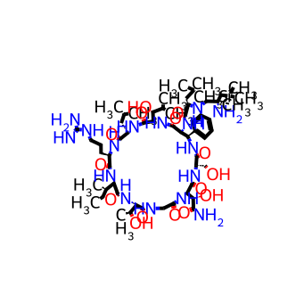 CC[C@H](C)[C@@H]1NC(=O)[C@@H](CCCNC(=N)N)NC(=O)[C@H](CC(C)C)NC(=O)[C@H]([C@H](O)C(C)C)NC(=O)[C@@H](NC(=O)[C@H](CC(C)(C)C)NC[C@@H](N)C[Si](C)(C)C)[C@@H](c2ccccc2)NC(=O)[C@H](CO)NC(=O)[C@H]([C@H](O)C(N)=O)NC(=O)CNC(=O)[C@H]([C@H](C)O)NC1=O